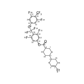 CCC1=CCC(C2CCC(C(=O)Oc3cc(F)c(C(F)(F)Oc4cc(F)c(C(F)(F)F)c(F)c4)c(F)c3)CC2)CC1